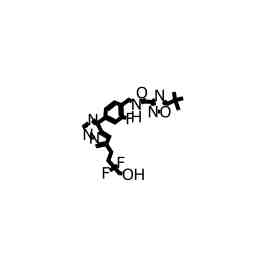 CC(C)(C)c1nc(C(=O)NCc2ccc(-c3ncnn4cc(CCC(F)(F)CO)cc34)cc2F)no1